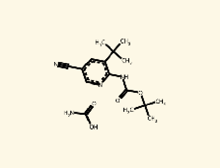 CC(C)(C)OC(=O)Nc1ncc(C#N)cc1C(C)(C)C.NC(=O)O